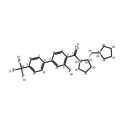 O=C(c1ccc(-c2ccc(C(F)(F)F)cc2)cc1F)N1CCC[C@H]1CN1CCCC1